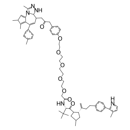 C=C(CCc1ccc(-c2[nH]ccc2C)cc1)[C@@H]1CC(C)CC1C(=O)[C@@H](NC(=O)COCCOCCOCCOCCOc1ccc(CC(=O)CC2C=C(c3ccc(C)cc3)C3=C(C)C(C)C=C3N3C(C)=NNC23)cc1)C(C)(C)C